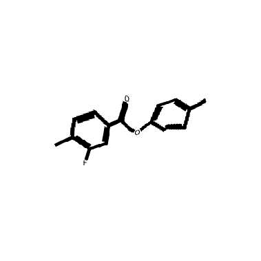 Cc1ccc(OC(=O)c2ccc(C)c(F)c2)cc1